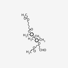 C=CC(=O)OCCCCCC(=O)Oc1ccc(C(C)(C)c2ccc(OC(CCC=O)CCOC(=O)C=C)c(C)c2)cc1C